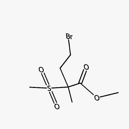 COC(=O)C(C)(CCBr)S(C)(=O)=O